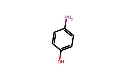 Oc1ccc(P)cc1